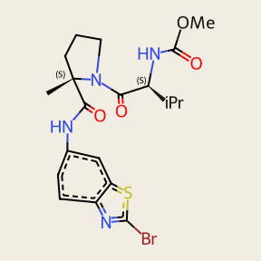 COC(=O)N[C@H](C(=O)N1CCC[C@@]1(C)C(=O)Nc1ccc2nc(Br)sc2c1)C(C)C